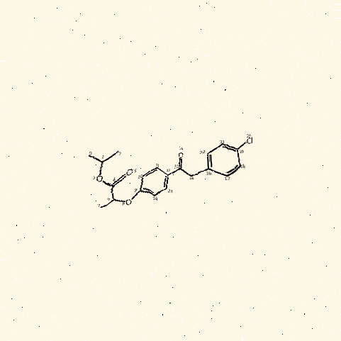 CC(C)OC(=O)C(C)Oc1ccc(C(=O)Cc2ccc(Cl)cc2)cc1